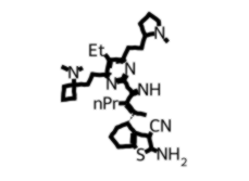 CCC/C(C(=N)c1nc(CCC2CCCN2C)c(CC)c(CCC2(N(C)C)CCC2)n1)=C(/C)[C@H]1CCCC2=C1C(C#N)C(N)S2